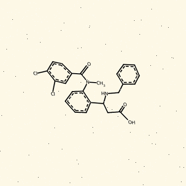 CN(C(=O)c1ccc(Cl)c(Cl)c1)c1ccccc1C(CC(=O)O)NCc1ccccc1